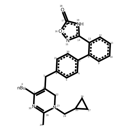 CCCCC1=C(Cc2ccc(-c3ccccc3-c3noc(=O)[nH]3)cc2)CN(CC2CC2)C(C)=N1